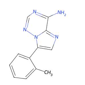 Cc1ccccc1-c1cnc2c(N)ncnn12